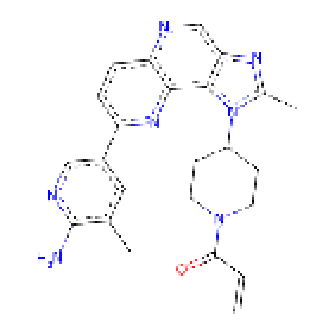 C=CC(=O)N1CCC(n2c(C)nc3cnc4ccc(-c5cnc(N)c(C)c5)nc4c32)CC1